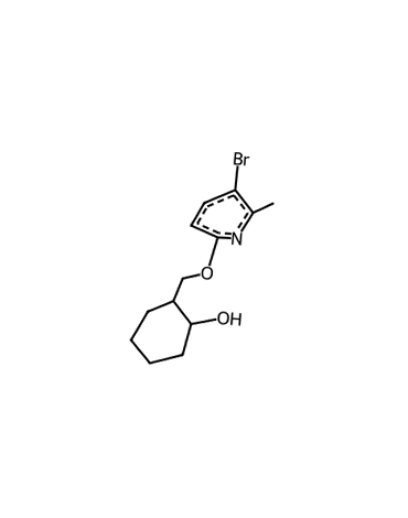 Cc1nc(OCC2CCCCC2O)ccc1Br